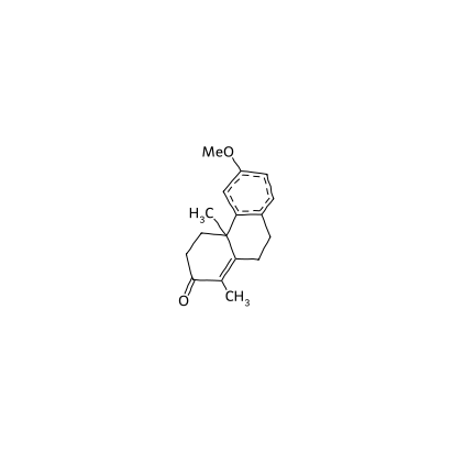 COc1ccc2c(c1)C1(C)CCC(=O)C(C)=C1CC2